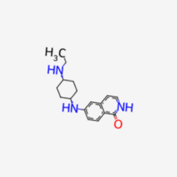 CCN[C@H]1CC[C@@H](Nc2ccc3c(=O)[nH]ccc3c2)CC1